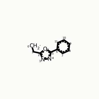 [CH2]Cc1nnc(-c2ccccc2)o1